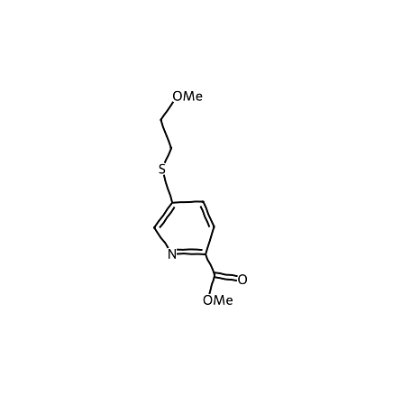 COCCSc1ccc(C(=O)OC)nc1